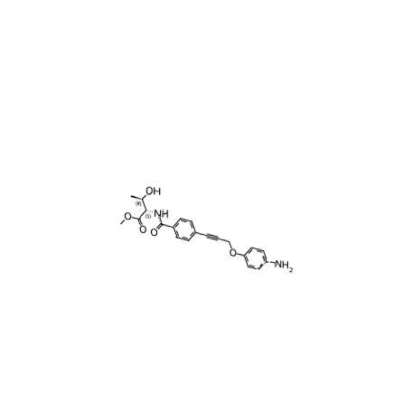 COC(=O)[C@@H](NC(=O)c1ccc(C#CCOc2ccc(N)cc2)cc1)[C@@H](C)O